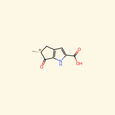 C[C@@H]1Cc2cc(C(=O)O)[nH]c2C1=O